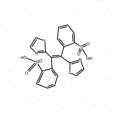 O=S(=O)(O)c1ccccc1C(=C(c1nccs1)c1ccccc1S(=O)(=O)O)c1nccs1